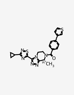 C[C@@H]1c2nnc(-c3nc(C4CC4)ns3)n2CCN1C(=O)c1ccc(-c2ccsc2)cc1